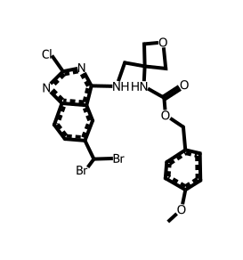 COc1ccc(COC(=O)NC2(CNc3nc(Cl)nc4ccc(C(Br)Br)cc34)COC2)cc1